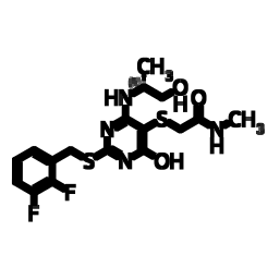 CNC(=O)CSc1c(O)nc(SCc2cccc(F)c2F)nc1N[C@H](C)CO